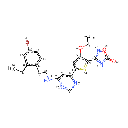 CCOc1cc(-c2cc(NCCc3ccc(Br)cc3CC)ncn2)sc1-c1noc(=O)[nH]1